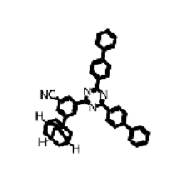 N#Cc1cc(-c2nc(-c3ccc(-c4ccccc4)cc3)nc(-c3ccc(-c4ccccc4)cc3)n2)cc(C23C[C@H]4C[C@@H](C2)C[C@@H](C3)C4)c1